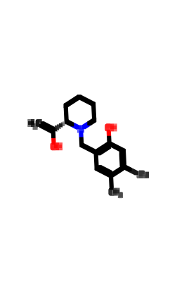 C=C(O)[C@@H]1CCCCN1Cc1cc(C)c(C(C)(C)C)cc1O